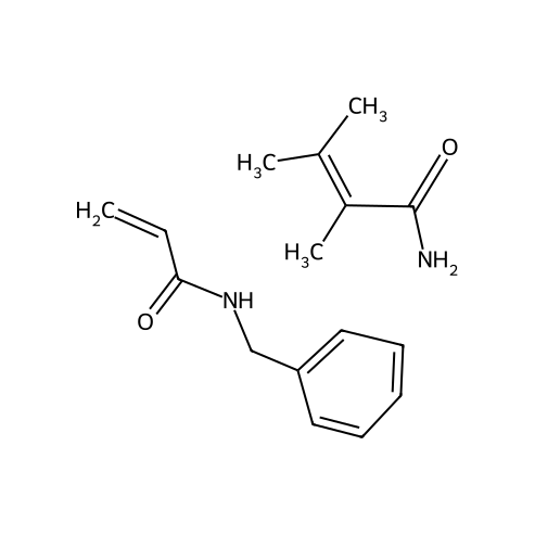 C=CC(=O)NCc1ccccc1.CC(C)=C(C)C(N)=O